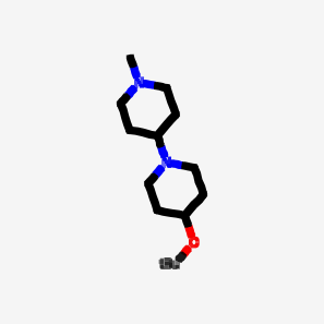 CN1CCC(N2CCC(OC(C)(C)C)CC2)CC1